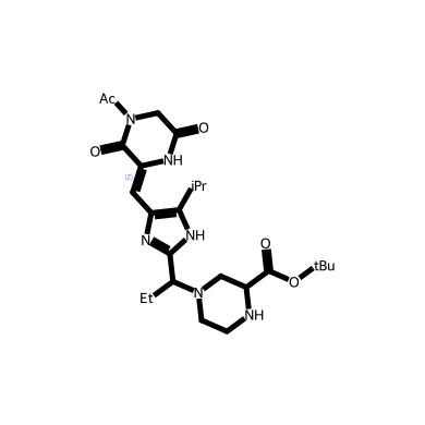 CCC(c1nc(/C=C2\NC(=O)CN(C(C)=O)C2=O)c(C(C)C)[nH]1)N1CCNC(C(=O)OC(C)(C)C)C1